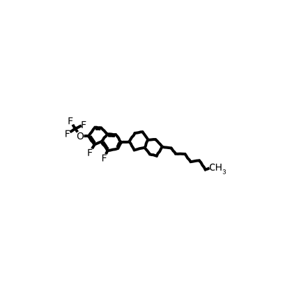 CCCCCCCC1CCC2CC(c3cc(F)c4c(F)c(OC(F)(F)F)ccc4c3)CCC2C1